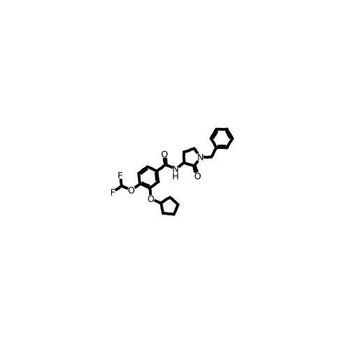 O=C(NC1CCN(Cc2ccccc2)C1=O)c1ccc(OC(F)F)c(OC2CCCC2)c1